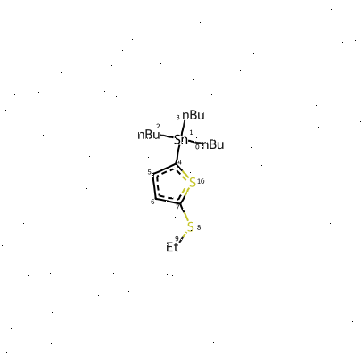 CCC[CH2][Sn]([CH2]CCC)([CH2]CCC)[c]1ccc(SCC)s1